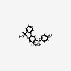 CC(C)(O)c1ccccc1-c1ccc2c(c1)N(c1ccc(Cl)cc1)NN2